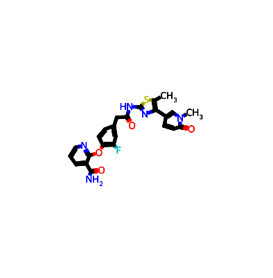 Cc1sc(NC(=O)Cc2ccc(Oc3ncccc3C(N)=O)c(F)c2)nc1-c1ccc(=O)n(C)c1